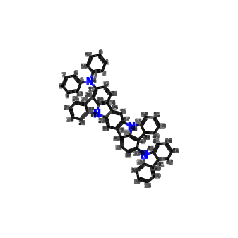 c1ccc(N(c2ccccc2)c2ccc3c4cc5c(cc4n4c6ccccc6c2c34)c2ccc(-n3c4ccccc4c4ccccc43)c3c4ccccc4n5c23)cc1